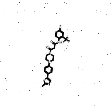 Cc1ncc(-c2ccc(N3CCN(C(=O)CC(=O)Nc4ccc(F)cc4C(F)(F)F)CC3)cc2)o1